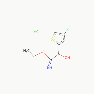 CCOC(=N)C(O)c1cc(F)cs1.Cl